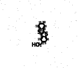 OCc1ccc2sc3c4ccccc4sc3c2c1